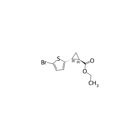 CCOC(=O)[C@@H]1C[C@H]1c1ccc(Br)s1